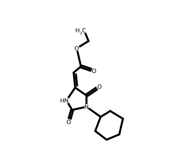 CCOC(=O)C=C1NC(=O)N(C2CCCCC2)C1=O